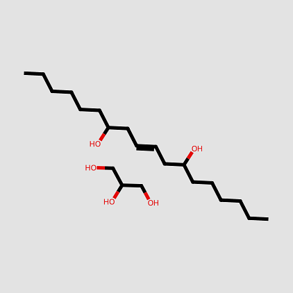 CCCCCCC(O)CC=CCC(O)CCCCCC.OCC(O)CO